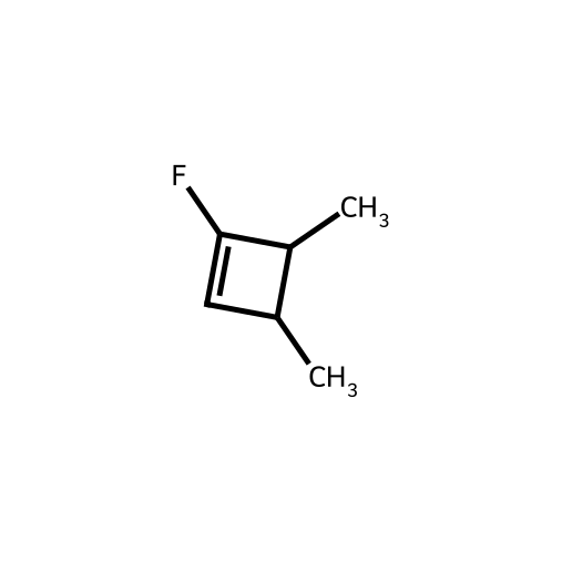 CC1C=C(F)C1C